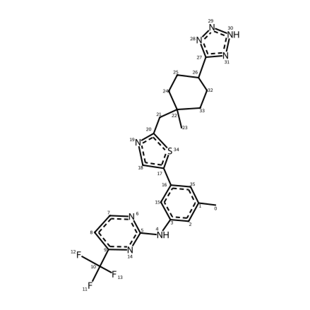 Cc1cc(Nc2nccc(C(F)(F)F)n2)cc(-c2cnc(CC3(C)CCC(c4nn[nH]n4)CC3)s2)c1